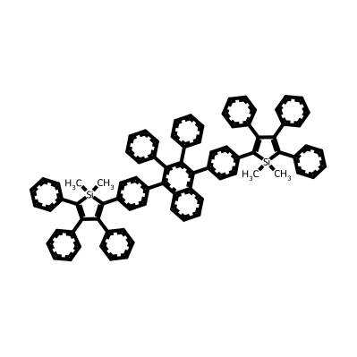 C[Si]1(C)C(c2ccccc2)=C(c2ccccc2)C(c2ccccc2)=C1c1ccc(-c2c(-c3ccccc3)c(-c3ccccc3)c(-c3ccc(C4=C(c5ccccc5)C(c5ccccc5)=C(c5ccccc5)[Si]4(C)C)cc3)c3ccccc23)cc1